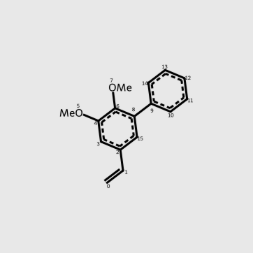 C=Cc1cc(OC)c(OC)c(-c2ccccc2)c1